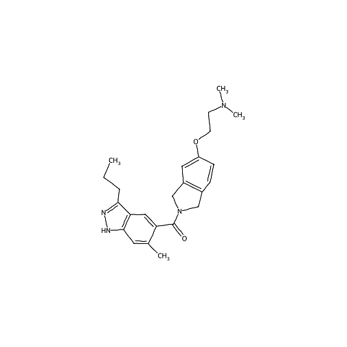 CCCc1n[nH]c2cc(C)c(C(=O)N3Cc4ccc(OCCN(C)C)cc4C3)cc12